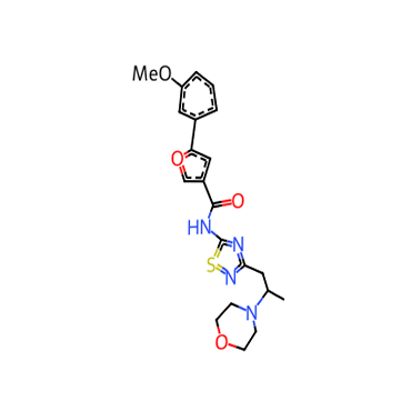 COc1cccc(-c2cc(C(=O)Nc3nc(CC(C)N4CCOCC4)ns3)co2)c1